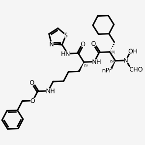 CCC[C@@H]([C@@H](CC1CCCCC1)C(=O)N[C@@H](CCCCNC(=O)OCc1ccccc1)C(=O)Nc1nccs1)N(O)C=O